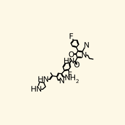 CCCn1cc(C(=O)Nc2ccc(-c3cc(/C(C)=C/NC4CCNCC4)cnc3N)c(F)c2)c(=O)c(-c2ccc(F)cc2)c1C#N